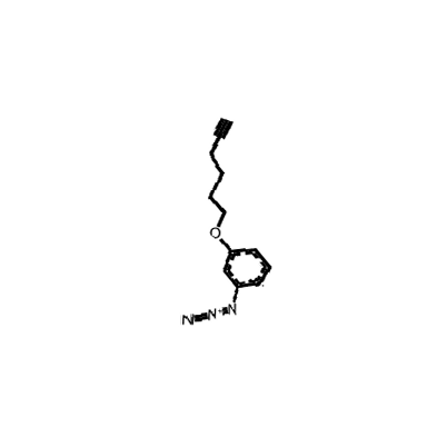 C#CCCCCOc1cc[c]c(N=[N+]=[N-])c1